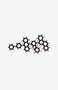 c1ccc(-c2ccc(-c3c4ccccc4c(-c4ccc(-c5cc6c7ccccc7ccc6c6ccccc56)c5c4oc4ccccc45)c4ccccc34)cc2)cc1